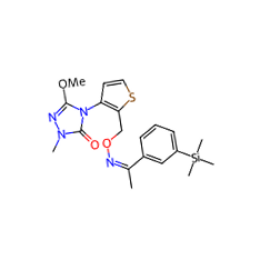 COc1nn(C)c(=O)n1-c1ccsc1CO/N=C(/C)c1cccc([Si](C)(C)C)c1